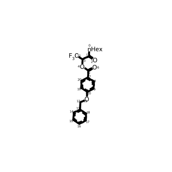 CCCCCCC(=O)C(OC(=O)c1ccc(OCc2ccccc2)cc1)C(F)(F)F